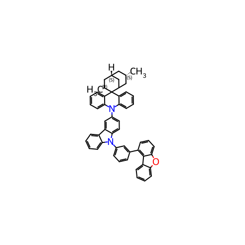 C[C@@H]1CC2C[C@@H](C1)C[C@@H](C)C21c2ccccc2N(c2ccc3c(c2)c2ccccc2n3-c2cccc(-c3cccc4oc5ccccc5c34)c2)c2ccccc21